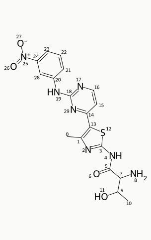 Cc1nc(NC(=O)C(N)C(C)O)sc1-c1ccnc(Nc2cccc([N+](=O)[O-])c2)n1